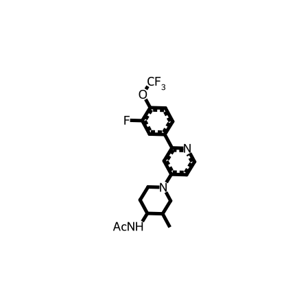 CC(=O)NC1CCN(c2ccnc(-c3ccc(OC(F)(F)F)c(F)c3)c2)CC1C